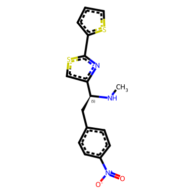 CN[C@@H](Cc1ccc([N+](=O)[O-])cc1)c1csc(-c2cccs2)n1